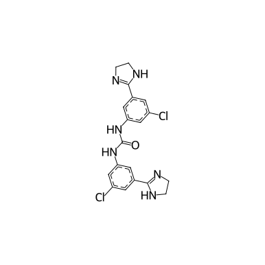 O=C(Nc1cc(Cl)cc(C2=NCCN2)c1)Nc1cc(Cl)cc(C2=NCCN2)c1